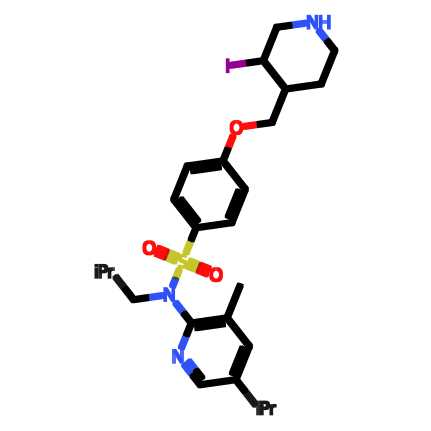 Cc1cc(C(C)C)cnc1N(CC(C)C)S(=O)(=O)c1ccc(OCC2CCNCC2I)cc1